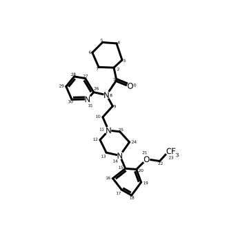 O=C(C1CCCCC1)N(CCN1CCN(c2ccccc2OCC(F)(F)F)CC1)c1ccccn1